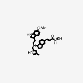 COc1ccc2c(CCN(Cc3cc(C)c[nH]3)C3CCc4cc(/C=C/C(=O)NO)ccc43)c[nH]c2c1